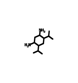 CC(C)C1CC(C(C)C)C(N)CC1N